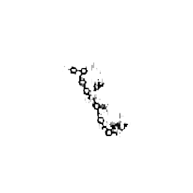 CC1(C)CCC(CN2CCN(c3ccc(C(=O)NS(=O)(=O)c4ccc(NCC5CCN(C(=O)C(N)c6cccc7c6C(=O)N(C6CCC(=O)NC6=O)C7=O)CC5)c([N+](=O)[O-])c4)c(Oc4cnc5[nH]ccc5c4)c3)CC2)=C(c2ccc(Cl)cc2)C1